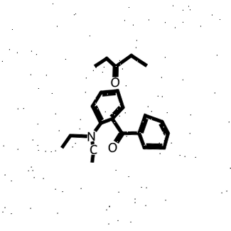 CCC(=O)CC.CCN(CC)c1ccccc1C(=O)c1ccccc1